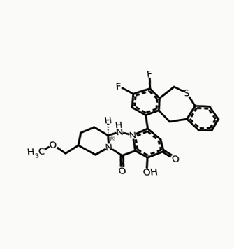 COCC1CC[C@H]2Nn3c(-c4cc(F)c(F)c5c4Cc4ccccc4SC5)cc(=O)c(O)c3C(=O)N2C1